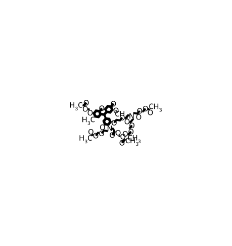 COc1cc2c(-c3ccc(N(CC(=O)OCOC(C)=O)CC(=O)OCOC(C)=O)c(OCCOCCN(CC(=O)OCOC(C)=O)CC(=O)OCOC(C)=O)c3)c3cc(C)c(OCOC(C)=O)cc3oc-2cc1=O